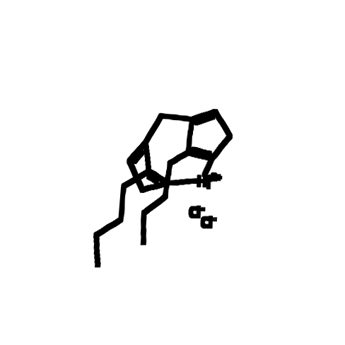 CCCCC1=[C]2CC=C1CC1=CC[C](=C1CCCC)[Hf+2]2.[Cl-].[Cl-]